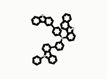 c1ccc(-n2c3ccccc3c3c(-c4cccc(N(c5ccc(-c6ccc7sc8ccccc8c7c6)cc5)c5cccc6oc7c8ccccc8ccc7c56)c4)cccc32)cc1